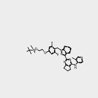 Cc1cnccc1Nc1nc(-c2nn(Cc3c(F)cc(OCCO[Si](C)(C)C(C)(C)C)cc3F)c3ccccc23)nc2c1CCC2